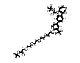 CC(C)(C)OC(=O)COCCOCCOCCOCCOc1ncc(-c2ccc3c4cnccc4n(C(=O)OC(C)(C)C)c3c2)cc1C(F)(F)F